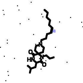 CCCCC/C=C\CCCN1CCC2(CC1)C(=O)NC(CC(C)C)C(=O)N2CCC